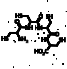 NC(CS)C(=O)NC(CS)C(=O)NC(CS)C(=O)NC(CS)C(=O)O